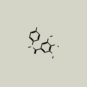 COc1cc(C(=O)N(C)c2cc[c]([Ge])cc2)cc(OC)c1OC.O.O.O